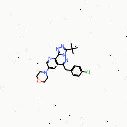 CC(C)(C)c1nnc2c3ncc(N4CCOCC4)cc3c(Cc3ccc(Cl)cc3)nn12